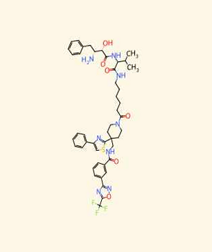 CC(C)[C@H](NC(=O)[C@@H](O)[C@H](N)Cc1ccccc1)C(=O)NCCCCCC(=O)N1CCC(CNC(=O)c2cccc(-c3noc(C(F)(F)F)n3)c2)(c2nc(-c3ccccc3)cs2)CC1